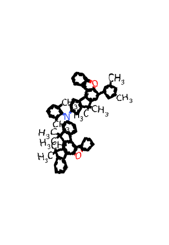 Cc1cc(C)cc(-c2cc3c(c4c2oc2ccccc24)-c2ccc(N(c4ccc5c(c4)C(C)(C)c4c6c(c7oc8ccccc8c7c4-5)-c4ccccc4C6(C)C)c4c(C)cccc4C)cc2C3(C)C)c1